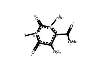 CCCCn1c(C(=O)OC)c([N+](=O)[O-])c(=O)n(C)c1=O